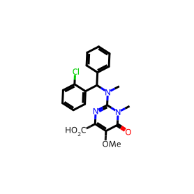 COc1c(C(=O)O)nc(N(C)C(c2ccccc2)c2ccccc2Cl)n(C)c1=O